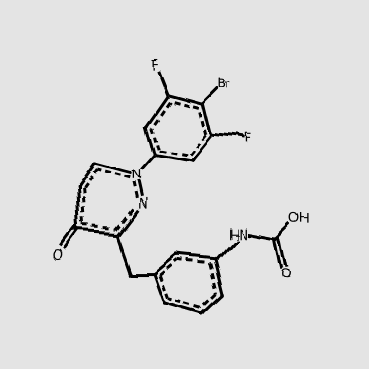 O=C(O)Nc1cccc(Cc2nn(-c3cc(F)c(Br)c(F)c3)ccc2=O)c1